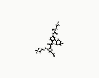 CC1(C)CC=C(c2cc(CC(=O)NCCCO)ccc2NC(=O)c2nc(C#N)cn2COCC[Si](C)(C)C)CC1